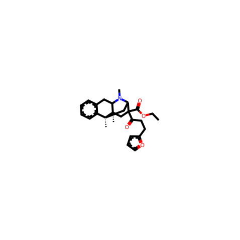 CCOC(=O)C1(C(=O)CCc2ccco2)C[C@]2(C)C3Cc4ccccc4[C@]2(C)CC1N3C